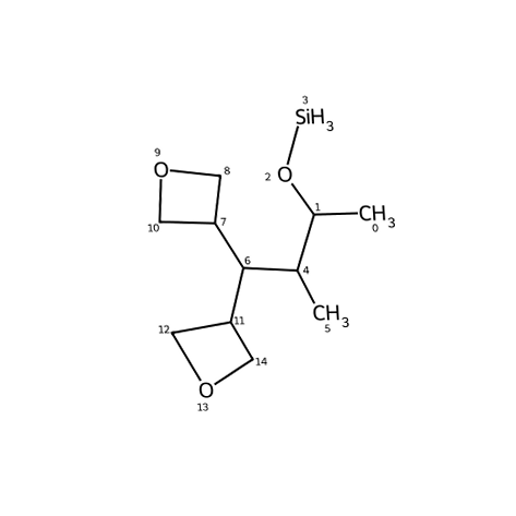 CC(O[SiH3])C(C)C(C1COC1)C1COC1